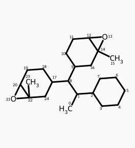 CC(C1CCCCC1)C(C1CCC2OC2(C)C1)C1CCC2OC2(C)C1